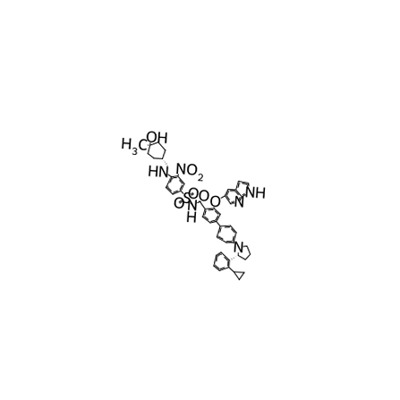 C[C@]1(O)CC[C@H](CNc2ccc(S(=O)(=O)NC(=O)c3ccc(-c4ccc(N5CCC[C@@H]5c5ccccc5C5CC5)cc4)cc3Oc3cnc4[nH]ccc4c3)cc2[N+](=O)[O-])CC1